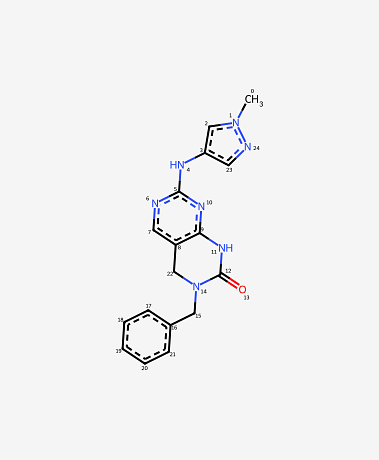 Cn1cc(Nc2ncc3c(n2)NC(=O)N(Cc2ccccc2)C3)cn1